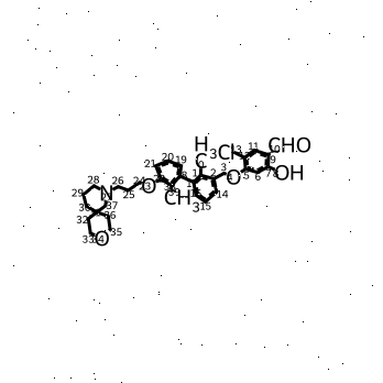 Cc1c(COc2cc(O)c(C=O)cc2Cl)cccc1-c1cccc(OCCCN2CCCC3(CCOCC3)C2)c1C